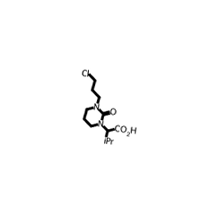 CC(C)C(C(=O)O)N1CCCN(CCCCl)C1=O